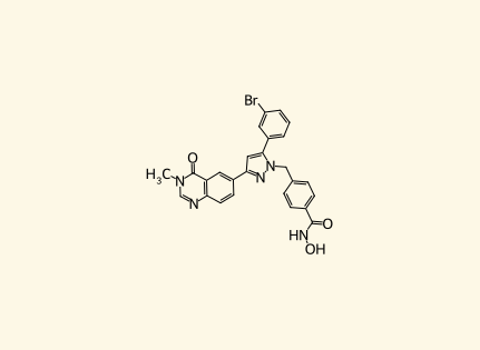 Cn1cnc2ccc(-c3cc(-c4cccc(Br)c4)n(Cc4ccc(C(=O)NO)cc4)n3)cc2c1=O